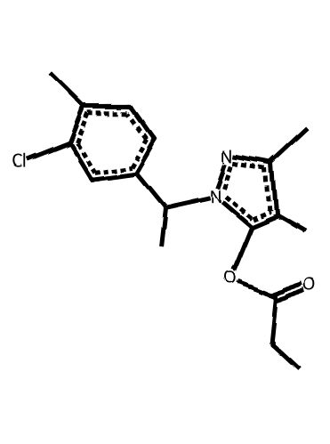 CCC(=O)Oc1c(C)c(C)nn1C(C)c1ccc(C)c(Cl)c1